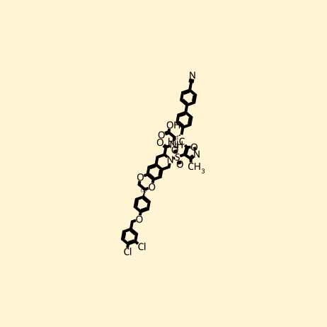 Cc1noc(C)c1S(=O)(=O)N1Cc2cc3c(cc2CC1C(=O)N[C@@H](Cc1ccc(-c2ccc(C#N)cc2)cc1)C(=O)O)OC[C@H](c1ccc(OCc2ccc(Cl)c(Cl)c2)cc1)O3